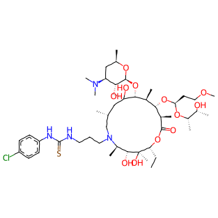 CC[C@H]1OC(=O)[C@H](C)[C@@H](O[C@@H](CCOC)O[C@@H](C)[C@@H](C)O)[C@H](C)[C@@H](O[C@@H]2O[C@H](C)C[C@H](N(C)C)[C@H]2O)[C@](C)(O)C[C@@H](C)CN(CCCNC(=S)Nc2ccc(Cl)cc2)[C@H](C)[C@@H](O)[C@]1(C)O